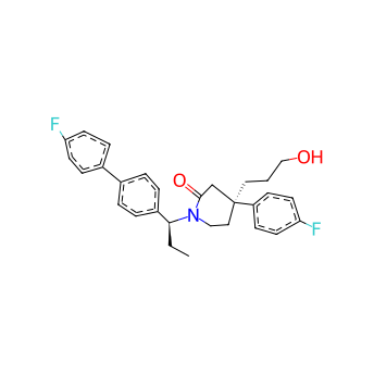 CC[C@@H](c1ccc(-c2ccc(F)cc2)cc1)N1CC[C@](CCCO)(c2ccc(F)cc2)CC1=O